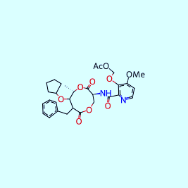 COc1ccnc(C(=O)N[C@H]2COC(=O)C(Cc3ccccc3)C(OC3CCCC3)[C@H](C)OC2=O)c1OCOC(C)=O